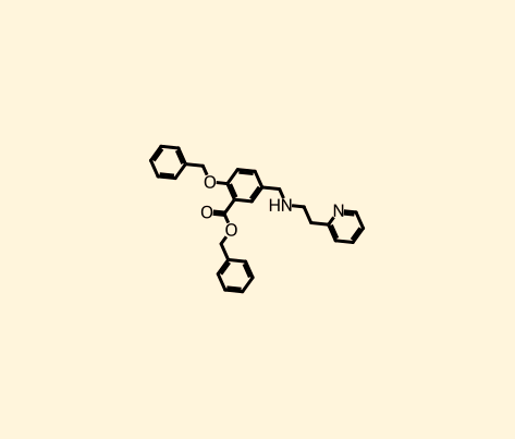 O=C(OCc1ccccc1)c1cc(CNCCc2ccccn2)ccc1OCc1ccccc1